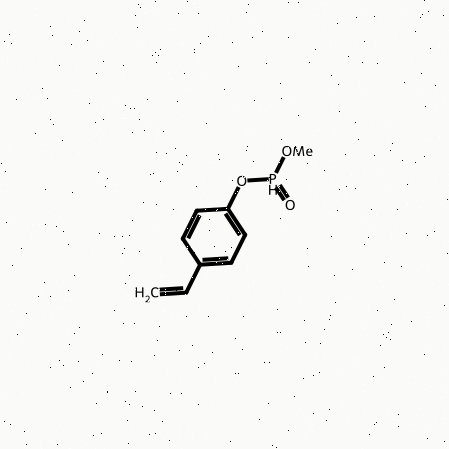 C=Cc1ccc(O[PH](=O)OC)cc1